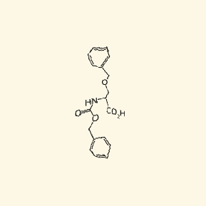 O=C(NC(COCc1ccccc1)C(=O)O)OCc1ccccc1